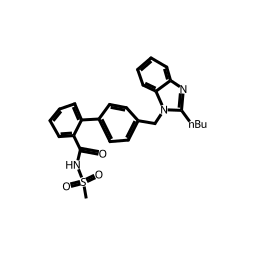 CCCCc1nc2ccccc2n1Cc1ccc(-c2ccccc2C(=O)NS(C)(=O)=O)cc1